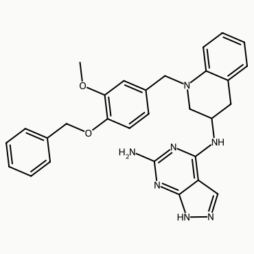 COc1cc(CN2CC(Nc3nc(N)nc4[nH]ncc34)Cc3ccccc32)ccc1OCc1ccccc1